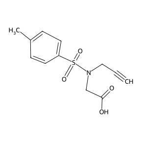 C#CCN(CC(=O)O)S(=O)(=O)c1ccc(C)cc1